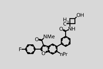 CCCc1cc2oc(-c3ccc(F)cc3)c(C(=O)NC)c2cc1-c1cccc(C(=O)NC2(C)CC(O)C2)c1